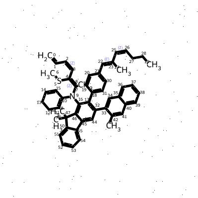 C=C/C=C\C(SC)=C(/C)N(C1=CCCC=C1)c1c(-c2ccc(/C=C(C)/C=C\CCC)cc2)c(-c2cc3ccccc3cc2C)cc2c1C(C)(C)c1ccccc1-2